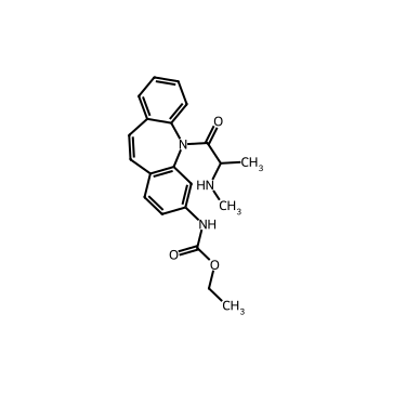 CCOC(=O)Nc1ccc2c(c1)N(C(=O)C(C)NC)c1ccccc1C=C2